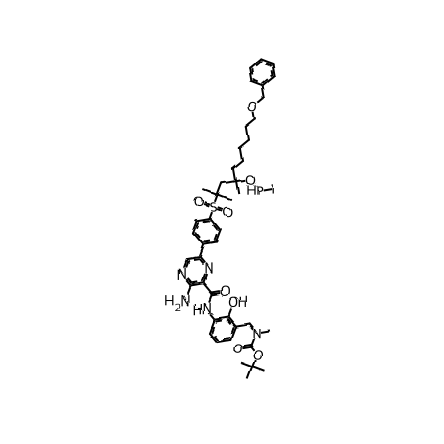 CN(Cc1cccc(NC(=O)c2nc(-c3ccc(S(=O)(=O)C(C)(C)CC(C)(CCCCCCOCc4ccccc4)OPI)cc3)cnc2N)c1O)C(=O)OC(C)(C)C